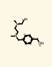 CC(C)CN(C)CCN(C)Cc1ccc(CO)cc1